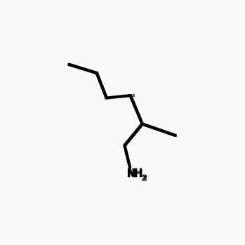 CCC[CH]C(C)CN